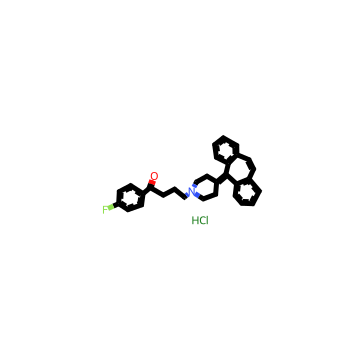 Cl.O=C(CCCN1CCC(=C2c3ccccc3C=Cc3ccccc32)CC1)c1ccc(F)cc1